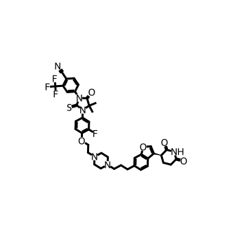 CC1(C)C(=O)N(c2ccc(C#N)c(C(F)(F)F)c2)C(=S)N1c1ccc(OCCN2CCN(CCCc3ccc4c([C@@H]5CCC(=O)NC5=O)coc4c3)CC2)c(F)c1